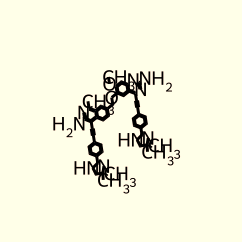 COc1cc2nc(N)nc(C#Cc3ccc(C4=NC(C)(C)CN4)cc3)c2cc1OCc1ccc2c(C#Cc3ccc(C4=NC(C)(C)CN4)cc3)c(N)nc(C)c2c1